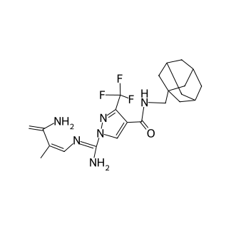 C=C(N)/C(C)=C\N=C(/N)n1cc(C(=O)NCC23CC4CC(CC(C4)C2)C3)c(C(F)(F)F)n1